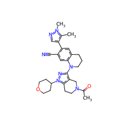 CC(=O)N1CCc2c(c(N3CCCc4cc(-c5cnn(C)c5C)c(C#N)cc43)nn2C2CCOCC2)C1